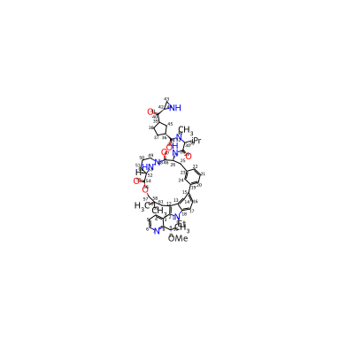 CCn1c(-c2cccnc2[C@H](C)OC)c2c3cc(ccc31)-c1cccc(c1)C[C@H](NC(=O)C(C(C)C)N(C)C(=O)[C@H]1CCC(C(=O)[C@H]3CN3)C1)C(=O)N1CCC[C@H](N1)C(=O)OCC(C)(C)C2